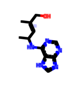 C/C(=C\C(C)Nc1ncnc2nc[nH]c12)CO